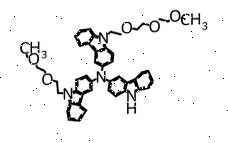 CCOCCOCCn1c2ccccc2c2cc(N(c3ccc4[nH]c5ccccc5c4c3)c3ccc4c(c3)c3ccccc3n4CCOCCOCCOC)ccc21